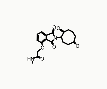 CNC(=O)COc1cccc2c1C(=O)N(C1CCC(=O)CCCC1=O)C2=O